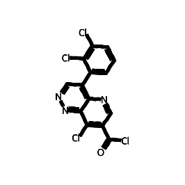 O=C(Cl)c1cnc2c(-c3cccc(Cl)c3Cl)cnnc2c1Cl